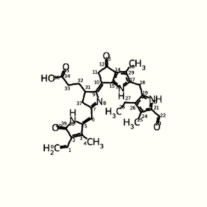 C=CC1=C(C)/C(=C/C2=NC(=C3/CC(=O)c4c3[nH]c(Cc3[nH]c(C=O)c(C)c3CC)c4C)/C(CCC(=O)O)C2)NC1=O